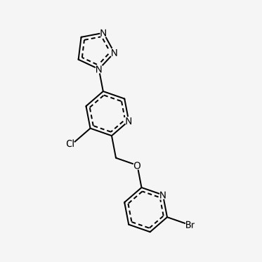 Clc1cc(-n2ccnn2)cnc1COc1cccc(Br)n1